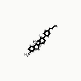 CCCCc1ccc(-c2ccc3c4c([nH]c3c2F)-c2ccc(N)cc2C4)cc1